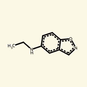 CCNc1ccc2oncc2c1